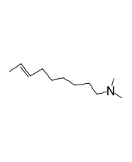 CC=CCCCCCCN(C)C